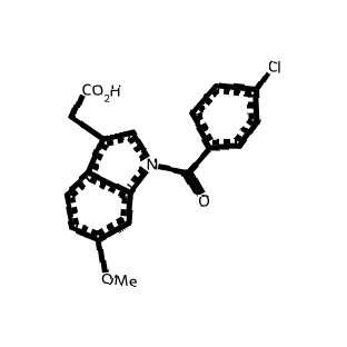 COc1ccc2c(CC(=O)O)cn(C(=O)c3ccc(Cl)cc3)c2c1